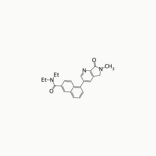 CCN(CC)C(=O)c1ccc2c(-c3cnc4c(c3)CN(C)C4=O)cccc2c1